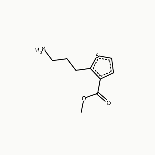 COC(=O)c1ccsc1CCCN